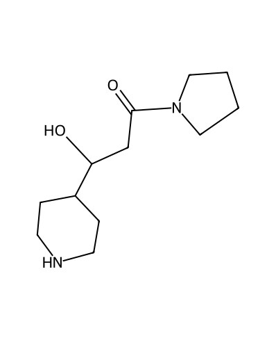 O=C(CC(O)C1CCNCC1)N1CCCC1